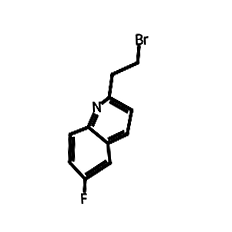 Fc1ccc2nc(CCBr)ccc2c1